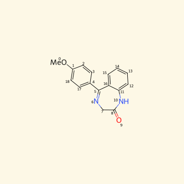 COc1ccc(C2=NCC(=O)Nc3ccccc32)cc1